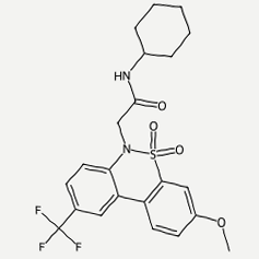 COc1ccc2c(c1)S(=O)(=O)N(CC(=O)NC1CCCCC1)c1ccc(C(F)(F)F)cc1-2